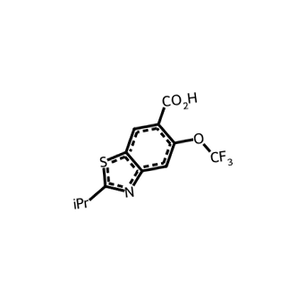 CC(C)c1nc2cc(OC(F)(F)F)c(C(=O)O)cc2s1